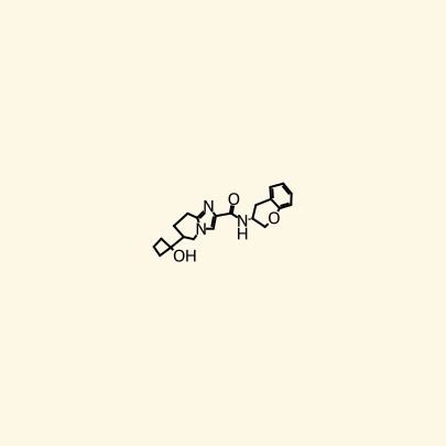 O=C(N[C@H]1COc2ccccc2C1)c1cn2c(n1)CCC(C1(O)CCC1)C2